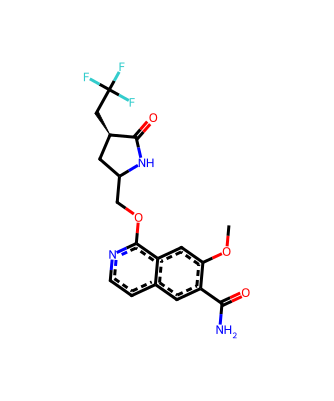 COc1cc2c(OCC3C[C@@H](CC(F)(F)F)C(=O)N3)nccc2cc1C(N)=O